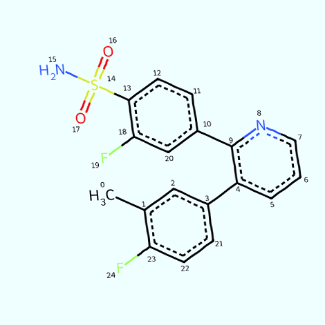 Cc1cc(-c2cccnc2-c2ccc(S(N)(=O)=O)c(F)c2)ccc1F